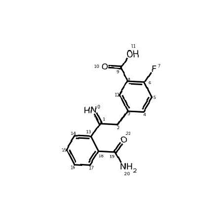 N=C(Cc1ccc(F)c(C(=O)O)c1)c1ccccc1C(N)=O